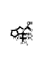 CC(C)(C)C1(N)C2CCCC2CN1C(=O)O